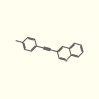 Cc1ccc(C#Cc2cnc3ccccc3c2)cc1